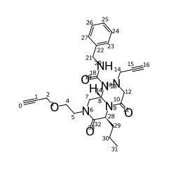 C#CCOCCN1C[C@H]2N(C(=O)CN(CC#C)N2C(=O)NCc2ccccc2)[C@@H](CCC)C1=O